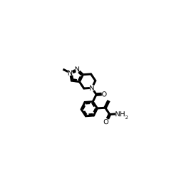 C=C(C(N)=O)c1ccccc1C(=O)N1CCc2nn(C)cc2C1